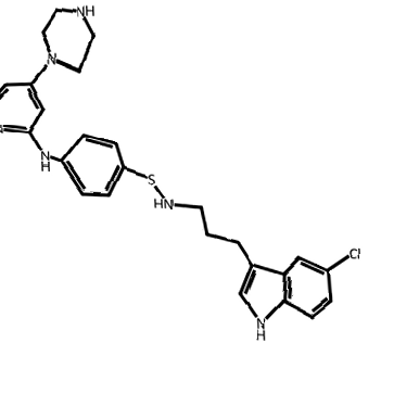 Clc1ccc2[nH]cc(CCCNSc3ccc(Nc4cc(N5CCNCC5)ccn4)cc3)c2c1